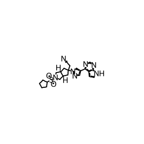 N#CCC1(n2cc(-c3ncnc4[nH]ccc34)cn2)C[C@H]2CN(S(=O)(=O)C3CCCC3)C[C@H]2C1